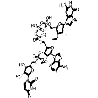 CC[C@H]1[C@@H](C)[C@H](n2c[n+](C)c3c(=O)[nH]c(N)nc32)O[C@@H]1COP(=O)(O)OP(=O)(O)OP(=O)(O)OC[C@H]1O[C@@H](n2cnc3c(N)ncnc32)[C@H](OC)[C@@H]1OP(=O)([O-])OC[C@H]1O[C@@H](n2ccc(=O)[nH]c2=O)[C@H](O)[C@@H]1O